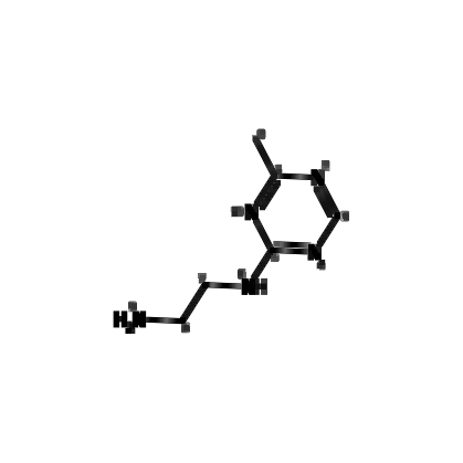 Cc1ncnc(NCCN)n1